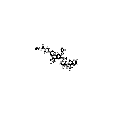 Cn1cc(-c2cc(Nc3ncc(Br)c(Nc4ccc5nccnc5c4P(C)(C)=O)n3)c(OC3CCC3)cc2N2CCC(N3CCN(C(=O)OC(C)(C)C)CC3)CC2)cn1